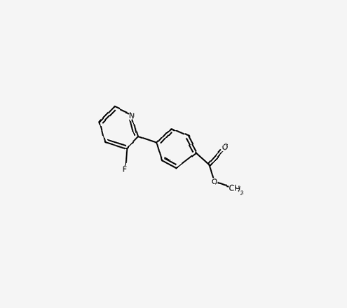 COC(=O)c1ccc(-c2ncccc2F)cc1